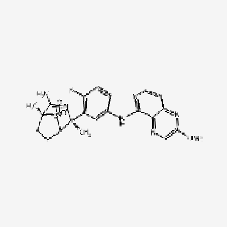 COc1cnc2c(Nc3ccc(F)c([C@@]4(C)N=C(N)[C@@]5(C)CCC4S5(=O)=O)c3)nccc2n1